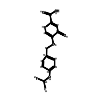 O=C(O)c1cc(=O)c(OCc2ccc(OC(F)F)cc2)co1